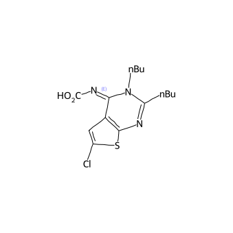 CCCCc1nc2sc(Cl)cc2/c(=N\C(=O)O)n1CCCC